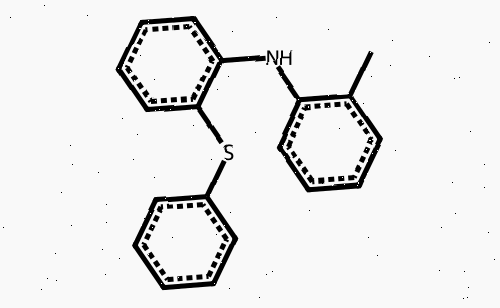 Cc1ccccc1Nc1ccccc1Sc1ccccc1